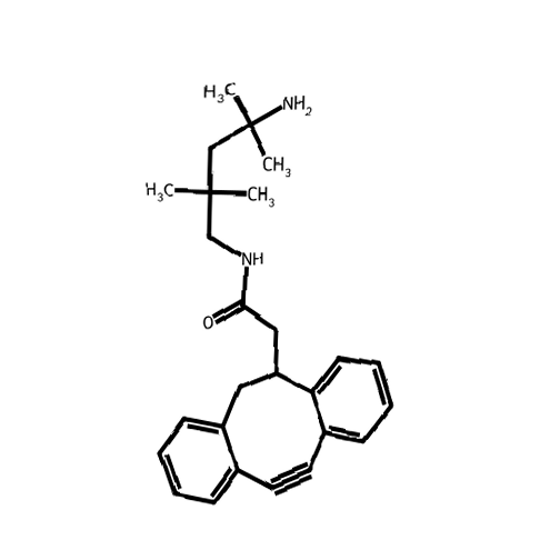 CC(C)(N)CC(C)(C)CNC(=O)CC1Cc2ccccc2C#Cc2ccccc21